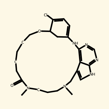 CN1CCCN(C)C(=O)CCCCCOC2CC(=CC=C2Cl)Nc2ncnc3[nH]cc(c23)C1